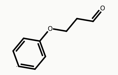 O=CCCOc1cc[c]cc1